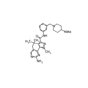 CNC1CCN(Cc2cccc(NC(=O)c3nn(C)c4c3C(C)(C)Cc3cnc(N)nc3-4)c2)CC1